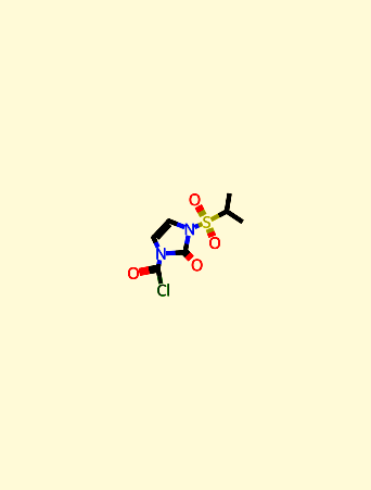 CC(C)S(=O)(=O)n1ccn(C(=O)Cl)c1=O